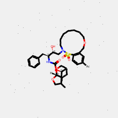 CC(=O)c1ccc2c(c1)COCCCCCCCN(C[C@@H](O)[C@H](Cc1ccccc1)NC(=O)O[C@H]1C3CO[C@H]4OCC1(C)C4C3)S2(=O)=O